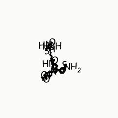 CC(C)S(=O)(=O)N1CCC(n2cc(-c3cccc(C(N)=S)c3)c3ccc(NC(=O)CCCC[C@@H]4SC[C@@H]5NC(=O)N[C@@H]54)cc32)CC1